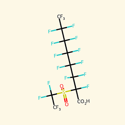 O=C(O)C(F)(C(F)(F)C(F)(F)C(F)(F)C(F)(F)C(F)(F)C(F)(F)F)S(=O)(=O)C(F)(F)C(F)(F)F